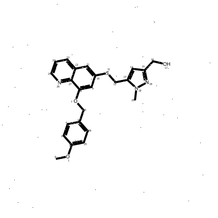 COc1ccc(COc2cc(SCc3cc(CO)nn3C)cc3cccnc23)cc1